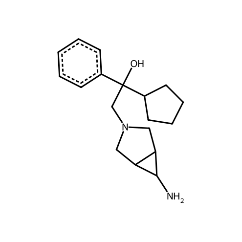 NC1C2CN(CC(O)(c3ccccc3)C3CCCC3)CC12